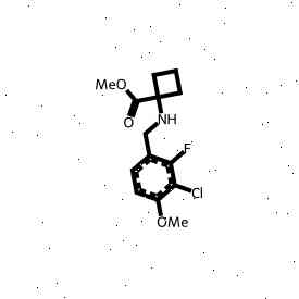 COC(=O)C1(NCc2ccc(OC)c(Cl)c2F)CCC1